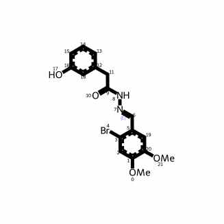 COc1cc(Br)c(/C=N/NC(=O)Cc2cccc(O)c2)cc1OC